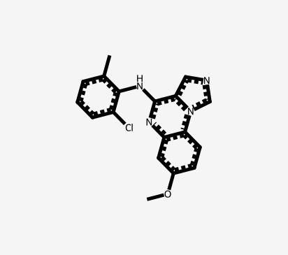 COc1ccc2c(c1)nc(Nc1c(C)cccc1Cl)c1cncn12